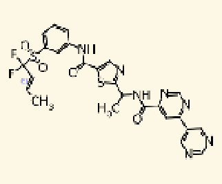 C/C=C/C(F)(F)S(=O)(=O)c1cccc(NC(=O)c2cnc(C(C)NC(=O)c3cc(-c4cncnc4)ncn3)s2)c1